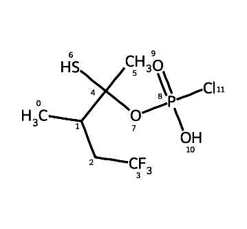 CC(CC(F)(F)F)C(C)(S)OP(=O)(O)Cl